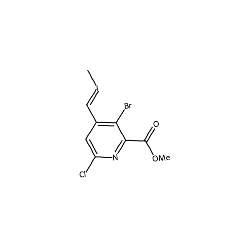 COC(=O)c1nc(Cl)cc(/C=I/C)c1Br